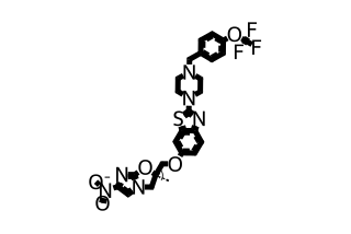 C[C@]1(COc2ccc3nc(N4CCN(Cc5ccc(OC(F)(F)F)cc5)CC4)sc3c2)Cn2cc([N+](=O)[O-])nc2O1